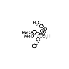 COc1ccc(CC(CC2CCN(Cc3ccccc3)CC2)(C(=O)O)C(=O)OS(=O)(=O)c2ccc(C)cc2)cc1OC